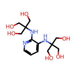 OCC(CO)(CO)Nc1cccnc1NC(CO)(CO)CO